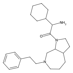 NC(C(=O)N1CCC2CCCN(CCc3ccccc3)CC21)C1CCCCC1